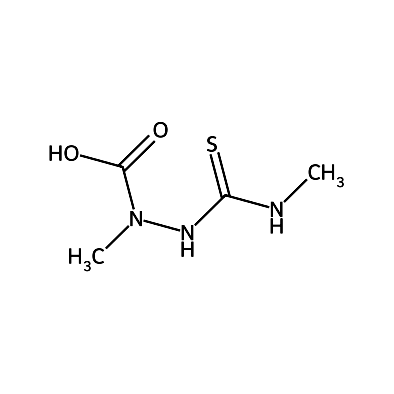 CNC(=S)NN(C)C(=O)O